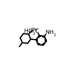 CC1CCC(C(C)C)C(c2cccc(N)c2C(=O)O)C1